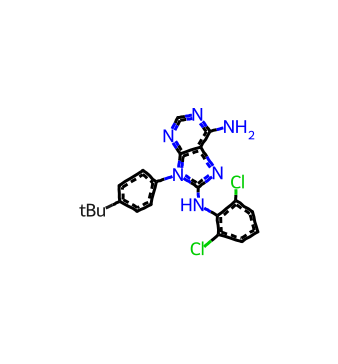 CC(C)(C)c1ccc(-n2c(Nc3c(Cl)cccc3Cl)nc3c(N)ncnc32)cc1